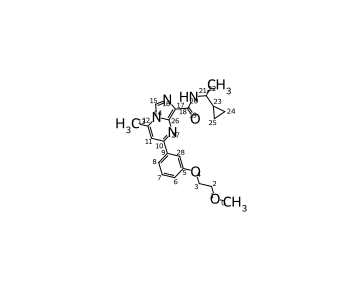 COCCOc1cccc(-c2cc(C)n3cnc(C(=O)N[C@@H](C)C4CC4)c3n2)c1